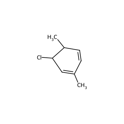 CC1=CC(Cl)C(C)C=C1